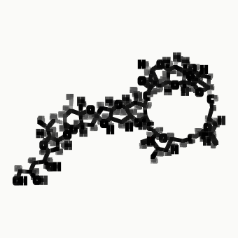 C=C1C[C@@H]2CC[C@@]34C[C@H]5O[C@H]6[C@@H](O3)[C@H]3O[C@H](CC[C@@H]3O[C@H]6[C@H]5O4)CC(=O)C[C@@H]3[C@@H](C)[C@@H]4O[C@@H]5C[C@]6(C[C@@H]7O[C@]8(C[C@H](C)[C@@H]9O[C@H]([C@@H](O)C[C@@H](O)CO)C[C@@H]9O8)C[C@H](C)[C@@H]7O6)O[C@@H]5C[C@@H]4O[C@H]3C[C@H]3O[C@@H](CC[C@@H]1O2)C[C@@H](C)C3=C